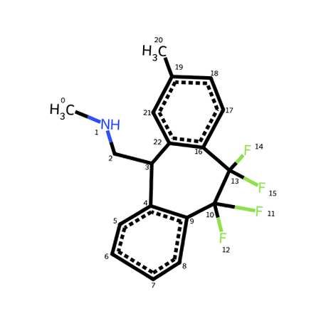 CNCC1c2ccccc2C(F)(F)C(F)(F)c2ccc(C)cc21